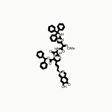 CO/N=C(\C(=O)NC1C(=O)N2C(C(=O)OC(c3ccccc3)c3ccccc3)=C(/C=C/Cn3cc4cc(O)c(=O)cc-4cn3)CS[C@H]12)c1csc(NC(c2ccccc2)(c2ccccc2)c2ccccc2)n1